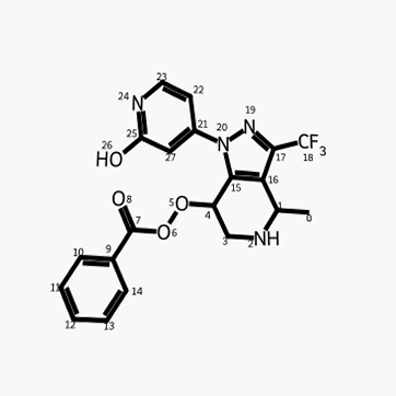 CC1NCC(OOC(=O)c2ccccc2)c2c1c(C(F)(F)F)nn2-c1ccnc(O)c1